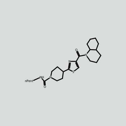 CCCCCNC(=O)N1CCC(c2nc(C(=O)N3CCCC4CCCCC43)cs2)CC1